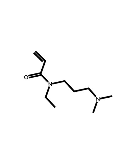 C=CC(=O)N(CC)CCCN(C)C